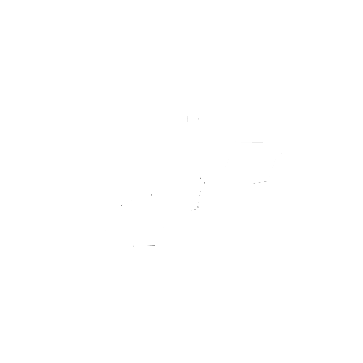 CCOC(=O)c1ccccc1NC(=O)C(CC(=O)O)NC(=O)OC(C)(C)C